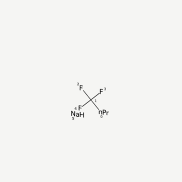 [CH2]CCC(F)(F)F.[NaH]